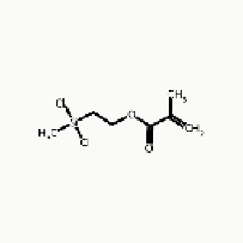 C=C(C)C(=O)OCC[Si](C)(Cl)Cl